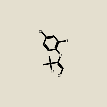 CCC(C)(C)C(=CCl)Oc1ccc(Cl)cc1Cl